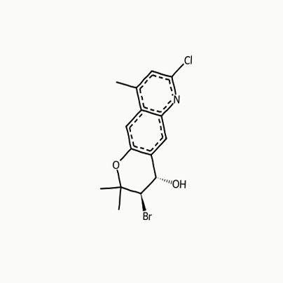 Cc1cc(Cl)nc2cc3c(cc12)OC(C)(C)[C@H](Br)[C@H]3O